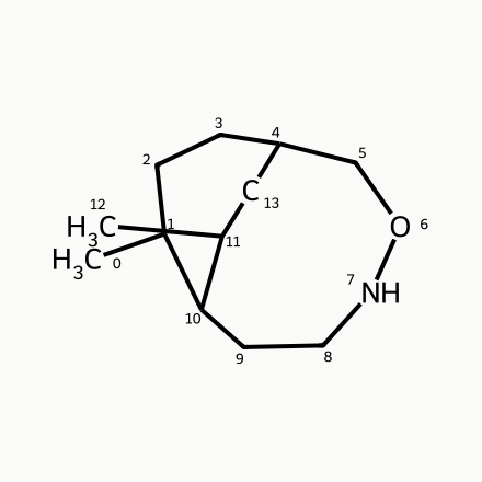 CC1CCC2CONCCC1C(C)C2